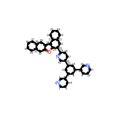 c1cncc(-c2cc(-c3cccnc3)cc(-c3ccc(-c4cc5ccccc5c5c4oc4cc6ccccc6cc45)nc3)c2)c1